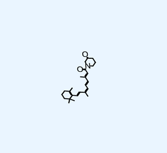 CC1=C(/C=C/C(C)=C\C=C\C(C)=C\C(=O)N2CCCC(=O)C2)C(C)(C)CCC1